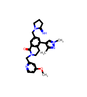 COc1ccnc(CN2CCc3c(cc(CN4CCCC4=N)cc3-c3cn(C)nc3C)C2=O)c1